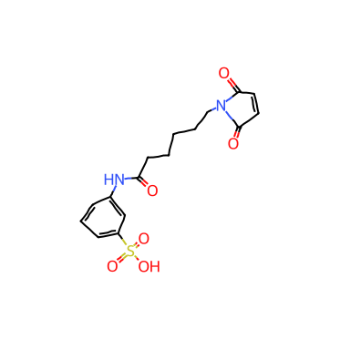 O=C(CCCCCN1C(=O)C=CC1=O)Nc1cccc(S(=O)(=O)O)c1